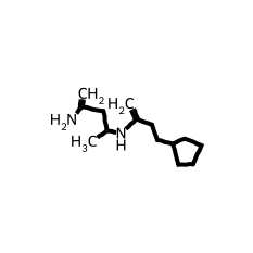 C=C(N)CC(C)NC(=C)CCC1CCCC1